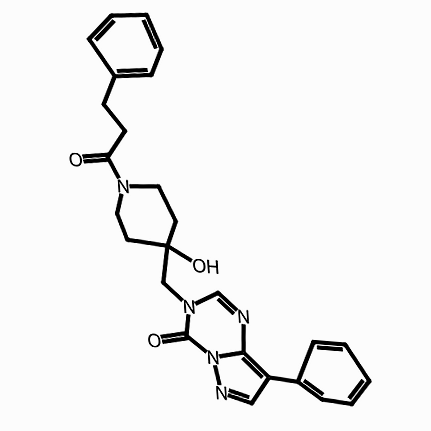 O=C(CCc1ccccc1)N1CCC(O)(Cn2cnc3c(-c4ccccc4)cnn3c2=O)CC1